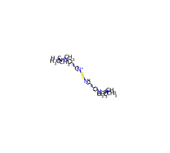 CN(CCC[N+](C)(C)C)c1ccc(/C=C/c2cc[n+](CCSSCC[n+]3ccc(/C=C/c4ccc(N(C)CC[N+](C)(C)C)cc4)cc3)cc2)cc1